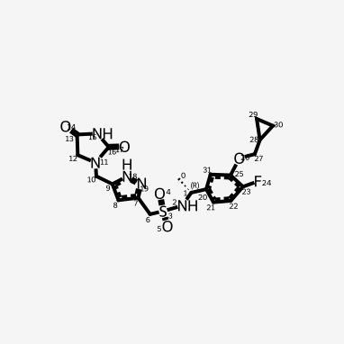 C[C@@H](NS(=O)(=O)Cc1cc(CN2CC(=O)NC2=O)[nH]n1)c1ccc(F)c(OCC2CC2)c1